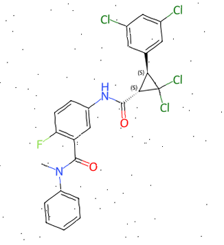 CN(C(=O)c1cc(NC(=O)[C@@H]2[C@@H](c3cc(Cl)cc(Cl)c3)C2(Cl)Cl)ccc1F)c1ccccc1